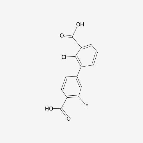 O=C(O)c1ccc(-c2[c]ccc(C(=O)O)c2Cl)cc1F